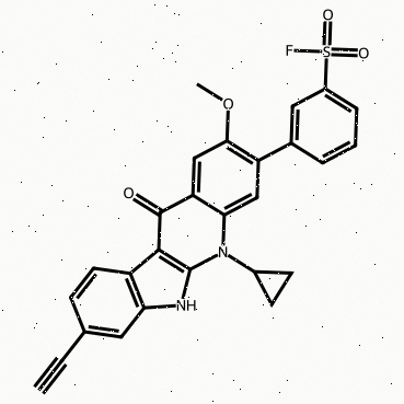 C#Cc1ccc2c(c1)[nH]c1c2c(=O)c2cc(OC)c(-c3cccc(S(=O)(=O)F)c3)cc2n1C1CC1